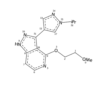 COCCOc1nccc2[nH]nc(-c3cnn(C(C)C)c3)c12